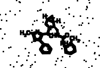 Cc1nc(C(=O)N2C[C@H]3C[C@H]3[C@H]2CNC(=O)Nc2ccccc2C)c(-c2ccccc2)s1